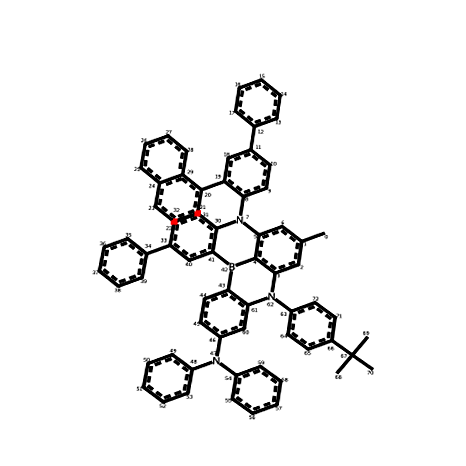 Cc1cc2c3c(c1)N(c1ccc(-c4ccccc4)cc1-c1cccc4ccccc14)c1ccc(-c4ccccc4)cc1B3c1ccc(N(c3ccccc3)c3ccccc3)cc1N2c1ccc(C(C)(C)C)cc1